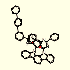 c1ccc(-c2ccc(-c3cccc(-c4nc5cccc(-n6c7ccccc7c7ccc8c9ccccc9n(-c9nc(-c%10ccccc%10)nc(-c%10ccccc%10)n9)c8c76)c5s4)c3)cc2)cc1